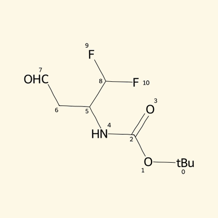 CC(C)(C)OC(=O)NC(CC=O)C(F)F